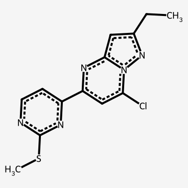 CCc1cc2nc(-c3ccnc(SC)n3)cc(Cl)n2n1